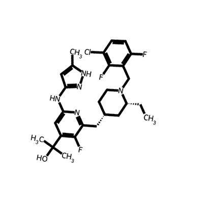 CC[C@@H]1C[C@H](Cc2nc(Nc3cc(C)[nH]n3)cc(C(C)(C)O)c2F)CCN1Cc1c(F)ccc(Cl)c1F